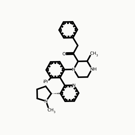 CC(C)c1cccc(N2CCNC(C)C2C(=O)Cc2ccccc2)c1-c1ncccc1[C@H]1CCCN1C